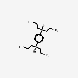 CCC[Si](Br)(CCC)c1ccc([Si](Br)(CCC)CCC)cc1